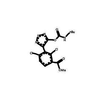 CCCCNC(=O)Oc1nsnc1-c1c(Cl)ccc(C(=O)OC)c1Cl